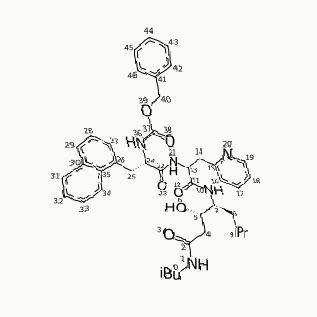 CCC(C)NC(=O)C[C@H](O)[C@H](CC(C)C)NC(=O)C(Cc1ccccn1)NC(=O)[C@H](Cc1cccc2ccccc12)NC(=O)OCc1ccccc1